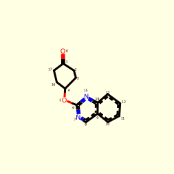 O=C1CCC(Oc2ncc3ccccc3n2)CC1